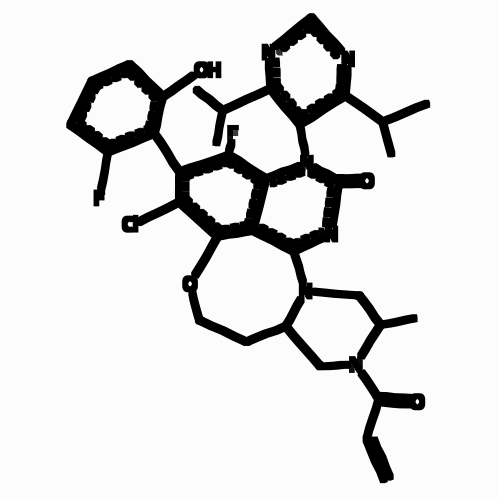 C=CC(=O)N1CC2CCOc3c(Cl)c(-c4c(O)cccc4F)c(F)c4c3c(nc(=O)n4-c3c(C(C)C)ncnc3C(C)C)N2CC1C